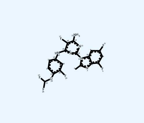 Cc1nc2c(F)cc(F)cc2n1-c1nc(N)c(F)c(Nc2ccc(OC(F)F)c(F)c2)n1